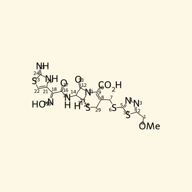 COCc1nnc(SCC2=C(C(=O)O)N3C(=O)C(NC(=O)C(=NO)c4csc(=N)[nH]4)[C@@H]3SC2)s1